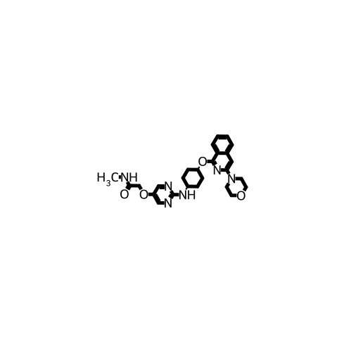 CNC(=O)COc1cnc(N[C@H]2CC[C@@H](Oc3nc(N4CCOCC4)cc4ccccc34)CC2)nc1